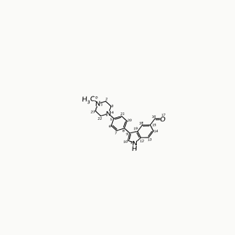 CN1CCN(c2ccc(-c3c[nH]c4ccc(C=O)cc34)cc2)CC1